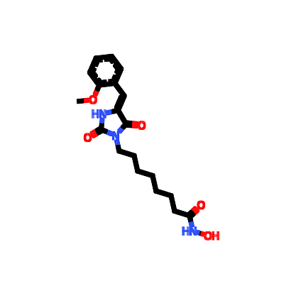 COc1ccccc1/C=C1\NC(=O)N(CCCCCCCC(=O)NO)C1=O